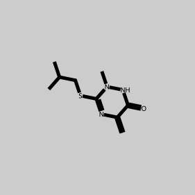 C=C1N=C(SCC(C)C)N(C)NC1=O